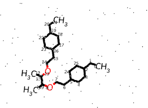 CCC1CCC(CCOC(C)C(C)OCCC2CCC(CC)CC2)CC1